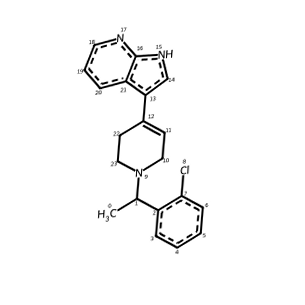 CC(c1ccccc1Cl)N1CC=C(c2c[nH]c3ncccc23)CC1